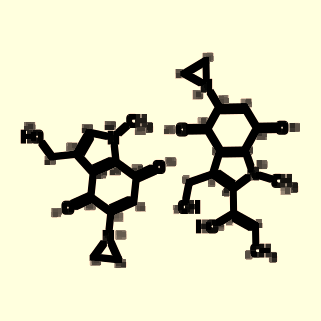 CC=C(O)c1c(CO)c2c(n1C)C(=O)C=C(N1CC1)C2=O.Cn1cc(CO)c2c1C(=O)C=C(N1CC1)C2=O